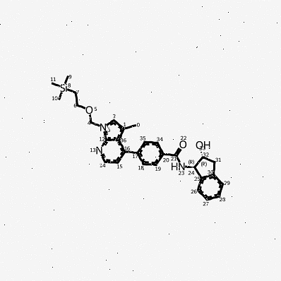 Cc1cn(COCC[Si](C)(C)C)c2nccc(-c3ccc(C(=O)N[C@@H]4c5ccccc5C[C@H]4O)cc3)c12